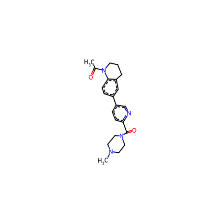 CC(=O)N1CCCc2cc(-c3ccc(C(=O)N4CCN(C)CC4)nc3)ccc21